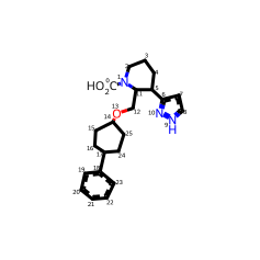 O=C(O)N1CCCC(c2cc[nH]n2)C1COC1CCC(c2ccccc2)CC1